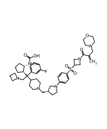 C=C(CN1CCOCC1)C(=O)N1CC(S(=O)(=O)c2ccc(N3CC[C@@H](CN4CCC(C(CN5CCC5)(c5cccc(F)c5)[C@H]5CCC[C@@H]5NC(=O)O)CC4)C3)cc2)C1